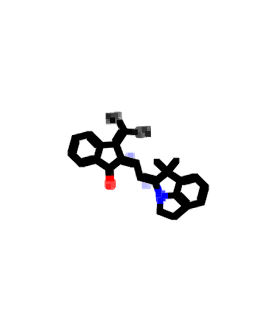 CC1(C)/C(=C\C=C2/C(=O)c3ccccc3C2=C(C#N)C#N)N2CCc3cccc1c32